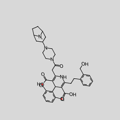 CN1C2CCC1CC(N1CCN(C(=O)CC3=C(C(=O)O)C(c4c(Cl)cccc4Cl)C(C(=O)O)=C(CCc4ccccc4CO)N3)CC1)C2